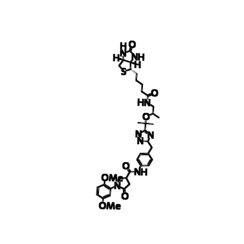 COc1ccc(OC)c(N2CC(C(=O)Nc3ccc(CC4N=NC(C(C)(C)OC(C)CNC(=O)CCCC[C@@H]5SC[C@@H]6NC(=O)N[C@@H]65)=N4)cc3)CC2=O)c1